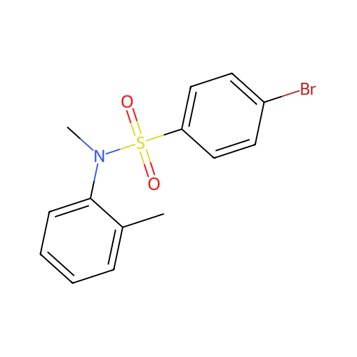 Cc1ccccc1N(C)S(=O)(=O)c1ccc(Br)cc1